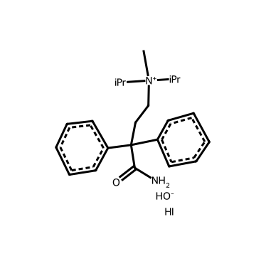 CC(C)[N+](C)(CCC(C(N)=O)(c1ccccc1)c1ccccc1)C(C)C.I.[OH-]